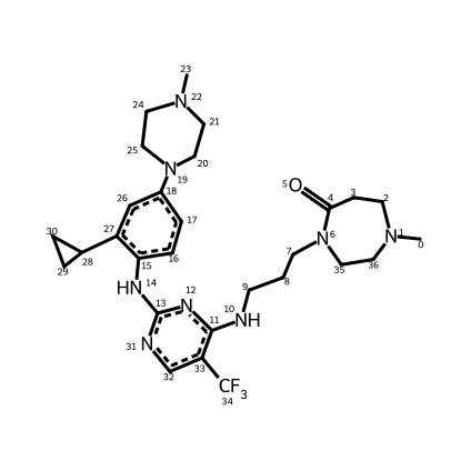 CN1CCC(=O)N(CCCNc2nc(Nc3ccc(N4CCN(C)CC4)cc3C3CC3)ncc2C(F)(F)F)CC1